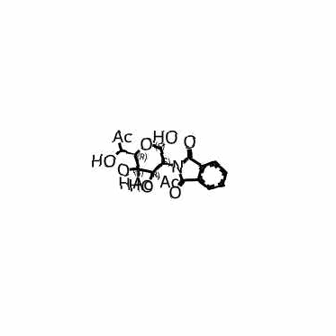 CC(=O)C(O)[C@H]1O[C@H](O)[C@@H](N2C(=O)c3ccccc3C2=O)[C@](O)(C(C)=O)[C@@]1(O)C(C)=O